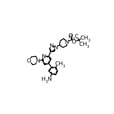 Cc1ccc(N)cc1-c1cc(-c2cnn(C3CCN(C(=O)OC(C)(C)C)CC3)c2)nc(N2CCOCC2)c1